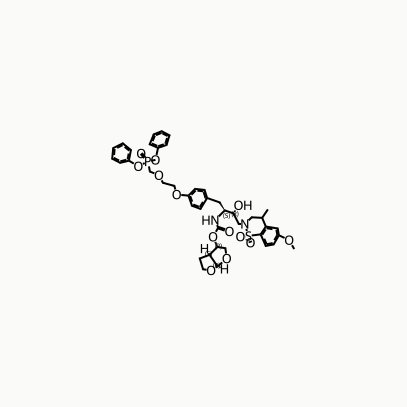 COc1ccc2c(c1)C(C)CN(C[C@@H](O)[C@H](Cc1ccc(OCCOCP(=O)(Oc3ccccc3)Oc3ccccc3)cc1)NC(=O)O[C@H]1CO[C@H]3OCC[C@H]31)S2(=O)=O